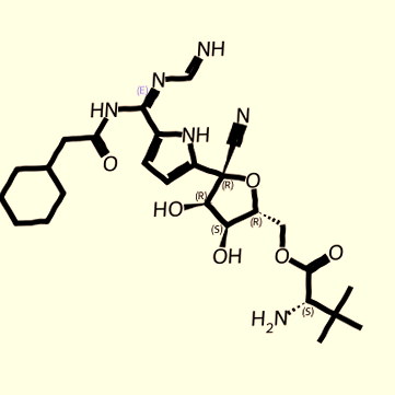 CC(C)(C)[C@H](N)C(=O)OC[C@H]1O[C@@](C#N)(c2ccc(/C(=N\C=N)NC(=O)CC3CCCCC3)[nH]2)[C@H](O)[C@@H]1O